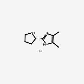 Cc1nc([C@@H]2CCCN2)[nH]c1I.Cl